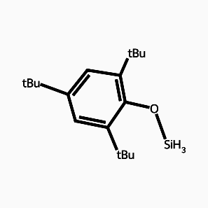 CC(C)(C)c1cc(C(C)(C)C)c(O[SiH3])c(C(C)(C)C)c1